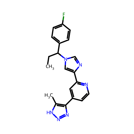 CCC(c1ccc(F)cc1)n1cnc(-c2cc(-c3nn[nH]c3C)ccn2)c1